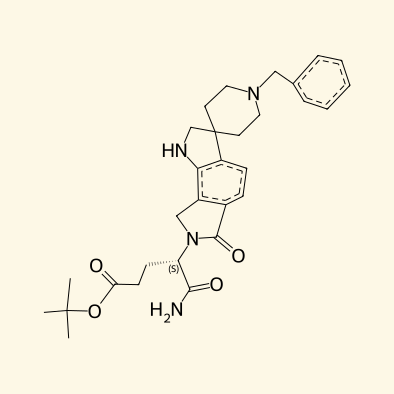 CC(C)(C)OC(=O)CC[C@@H](C(N)=O)N1Cc2c(ccc3c2NCC32CCN(Cc3ccccc3)CC2)C1=O